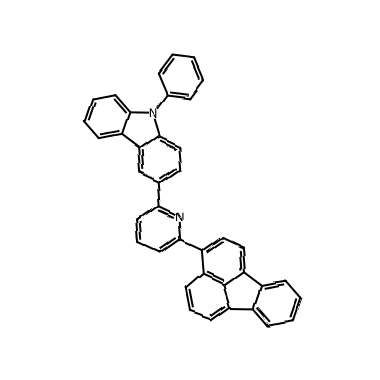 c1ccc(-n2c3ccccc3c3cc(-c4cccc(-c5ccc6c7c(cccc57)-c5ccccc5-6)n4)ccc32)cc1